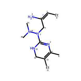 CC/C=C(/N)CN(C1=NC(C)=C(CC)CN1)N(C)C